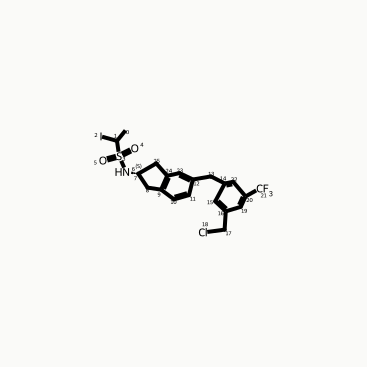 CC(I)S(=O)(=O)N[C@H]1Cc2ccc(Cc3cc(CCl)cc(C(F)(F)F)c3)cc2C1